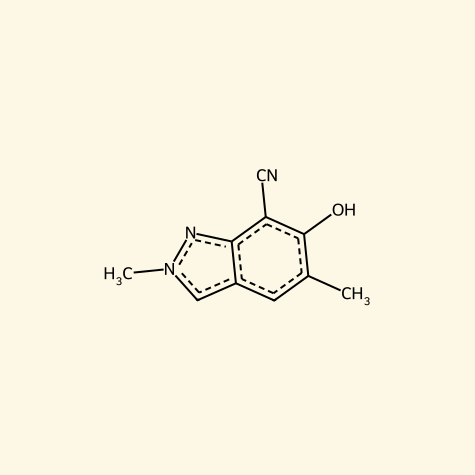 Cc1cc2cn(C)nc2c(C#N)c1O